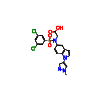 Cn1cc(-n2ccc3cc(N(CC(=O)O)S(=O)(=O)c4cc(Cl)cc(Cl)c4)ccc32)cn1